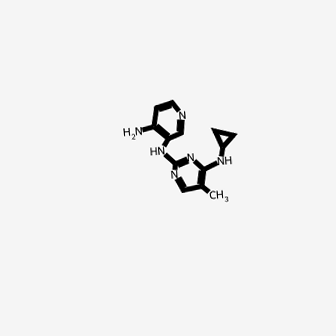 Cc1cnc(Nc2cnccc2N)nc1NC1CC1